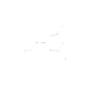 O=C(O)C(O)c1cc(Cl)cc(C(F)(F)F)c1